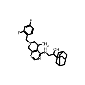 CC1CN(Cc2ccc(F)cc2F)Cc2ncnc(NCC(O)C34CC5CC(CC(C5)C3)C4)c21